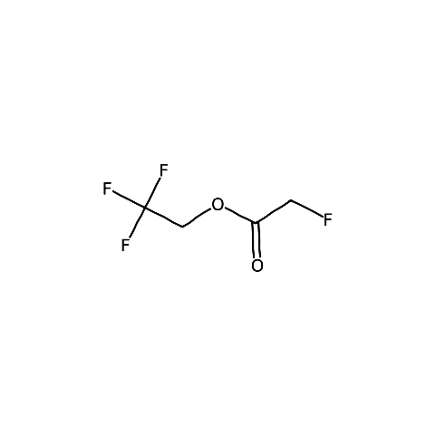 O=C(CF)OCC(F)(F)F